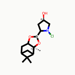 CC1(C)C2CC3OB(C4C[C@@H](O)CN4Cl)O[C@@]3(C)C1C2